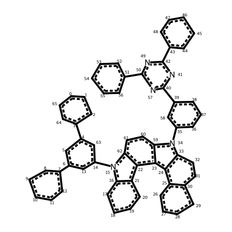 c1ccc(-c2cc(-c3ccccc3)cc(-n3c4ccccc4c4c5c6c7ccccc7ccc6n(-c6cccc(-c7nc(-c8ccccc8)nc(-c8ccccc8)n7)c6)c5ccc43)c2)cc1